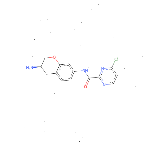 N[C@H]1COc2cc(NC(=O)c3nccc(Cl)n3)ccc2C1